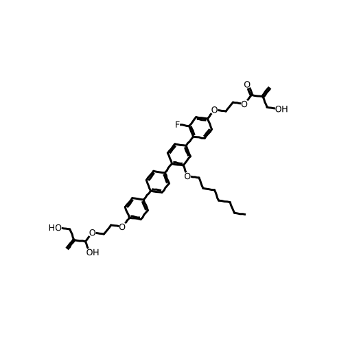 C=C(CO)C(=O)OCCOc1ccc(-c2ccc(-c3ccc(-c4ccc(OCCOC(O)C(=C)CO)cc4)cc3)c(OCCCCCCC)c2)c(F)c1